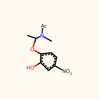 CC(=O)N(C)C(C)Oc1ccc([N+](=O)[O-])cc1O